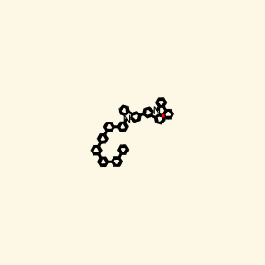 c1ccc(-c2cccc(-c3cccc(-c4cccc(-c5ccc(-c6cccc(-c7cccc(-n8c9ccccc9c9cc(-c%10ccc%11c(c%10)c%10ccccc%10n%11-c%10ccccc%10-c%10ccccc%10)ccc98)c7)c6)cc5)c4)c3)c2)cc1